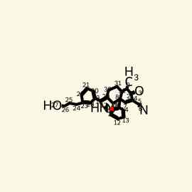 CC1C(=O)C(C#N)=CC2(c3ccccc3)c3n[nH]c(-c4cccc(CCCO)c4)c3CCC12